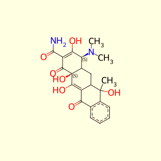 CN(C)[C@@H]1C(O)=C(C(N)=O)C(=O)[C@@]2(O)C(O)=C3C(=O)c4ccccc4C(C)(O)C3CC12